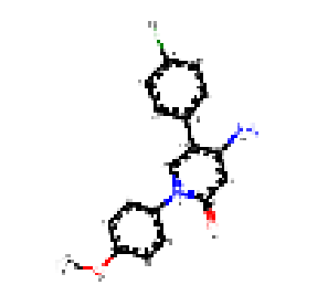 Nc1cc(=O)n(-c2ccc(OC(F)(F)F)cc2)cc1-c1ccc(F)cc1